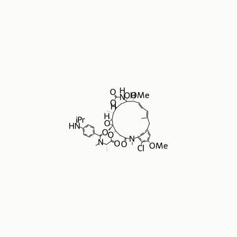 COc1cc2cc(c1Cl)N(C)C(=O)C[C@H](OC(=O)[C@H](C)N(C)C(=O)c1ccc(NC(C)C)cc1)[C@]1(C)O[C@H]1[C@H](C)[C@@H]1C[C@@](O)(NC(=O)O1)[C@H](OC)/C=C/C=C(\C)C2